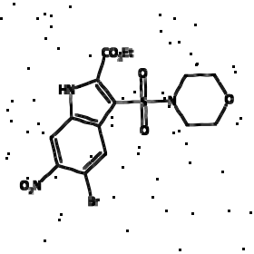 CCOC(=O)c1[nH]c2cc([N+](=O)[O-])c(Br)cc2c1S(=O)(=O)N1CCOCC1